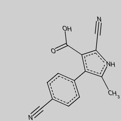 Cc1[nH]c(C#N)c(C(=O)O)c1-c1ccc(C#N)cc1